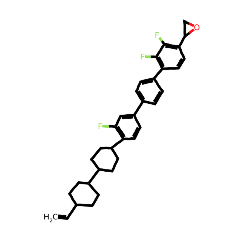 C=CC1CCC(C2CCC(c3ccc(-c4ccc(-c5ccc(C6CO6)c(F)c5F)cc4)cc3F)CC2)CC1